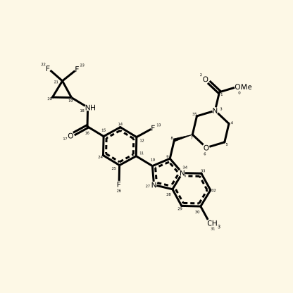 COC(=O)N1CCO[C@@H](Cc2c(-c3c(F)cc(C(=O)NC4CC4(F)F)cc3F)nc3cc(C)ccn23)C1